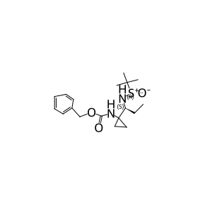 CC[C@H](N[S@@+]([O-])C(C)(C)C)C1(NC(=O)OCc2ccccc2)CC1